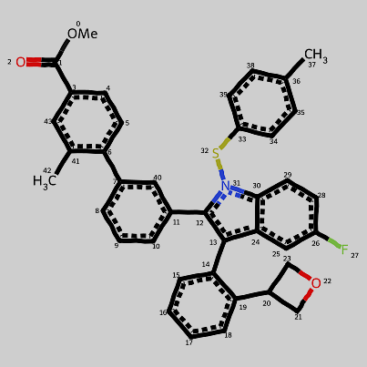 COC(=O)c1ccc(-c2cccc(-c3c(-c4ccccc4C4COC4)c4cc(F)ccc4n3Sc3ccc(C)cc3)c2)c(C)c1